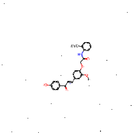 CCOc1cc(/C=C/C(=O)c2ccc(O)cc2)ccc1OCC(=O)Nc1ccccc1OC